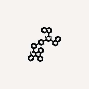 c1cc(-c2ccc(-c3cc(-c4cccc5ccccc45)nc(-c4cccc5ccccc45)n3)cc2)cc(-c2nc3ccccc3c3c4ccccc4c4ccccc4c23)c1